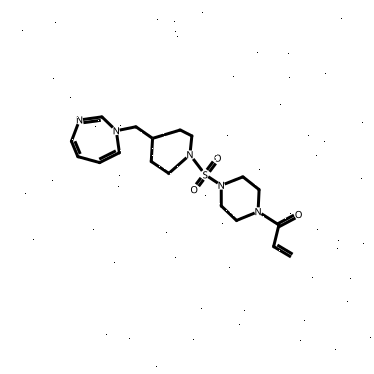 C=CC(=O)N1CCN(S(=O)(=O)N2CCC(CN3C=CC=CN=C3)CC2)CC1